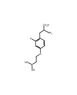 NC(Cc1ccc(OCCB(O)O)cc1F)C(=O)O